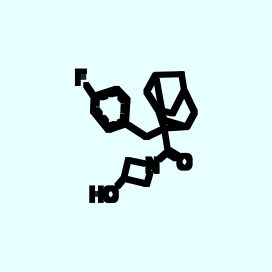 O=C(N1CC(O)C1)C1(Cc2ccc(F)cc2)C2CC3CC(C2)CC1C3